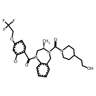 C[C@@H]1CN(C(=O)c2ccc(OCC(F)(F)F)cc2Cl)c2ccccc2CN1C(=O)N1CCC(CCO)CC1